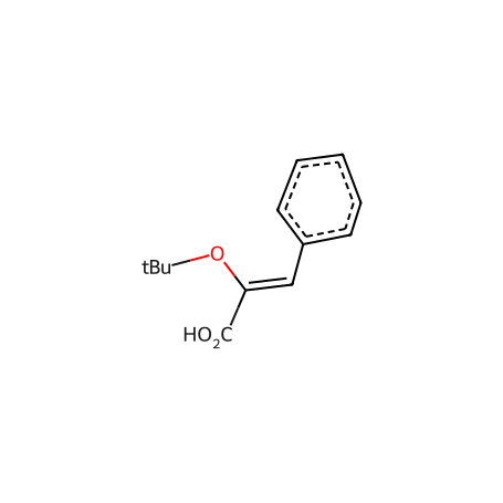 CC(C)(C)OC(=Cc1ccccc1)C(=O)O